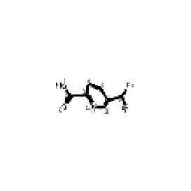 O=C(O)c1ccc(C(F)F)cn1